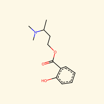 CC(CCOC(=O)c1ccccc1O)N(C)C